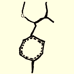 COC(c1ccc(C)cc1)C(C)C